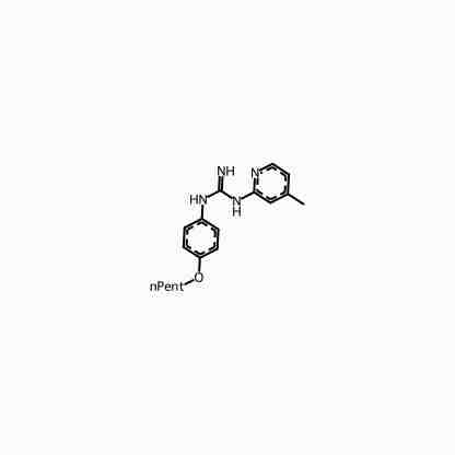 CCCCCOc1ccc(NC(=N)Nc2cc(C)ccn2)cc1